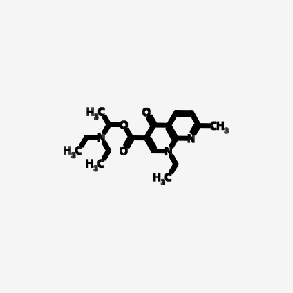 CCN(CC)C(C)OC(=O)c1cn(CC)c2nc(C)ccc2c1=O